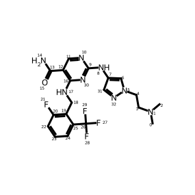 CN(C)CCn1cc(Nc2ncc(C(N)=O)c(NCc3c(F)cccc3C(F)(F)F)n2)cn1